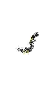 c1ccc(-c2ccc3sc4c(ccc5c6cc(-c7cccc(-c8ccc9sc%10c(ccc%11c%12cc(-c%13ccccc%13)ccc%12sc%11%10)c9c8)c7)ccc6sc54)c3c2)cc1